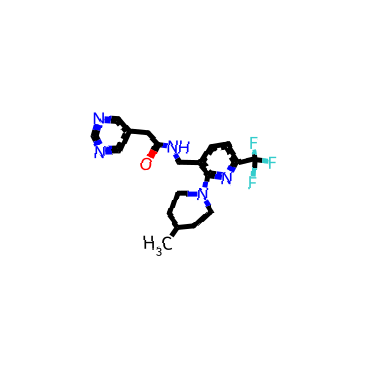 CC1CCN(c2nc(C(F)(F)F)ccc2CNC(=O)Cc2cncnc2)CC1